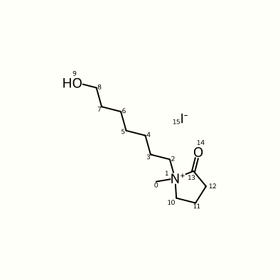 C[N+]1(CCCCCCCO)CCCC1=O.[I-]